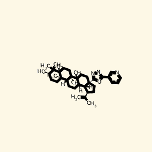 C=C(C)[C@@H]1CC[C@]2(c3nnc(-c4cccnc4)o3)CC[C@]3(C)[C@H](CC[C@@H]4[C@@]5(C)CC[C@H](O)C(C)(C)[C@@H]5CC[C@]43C)[C@@H]12